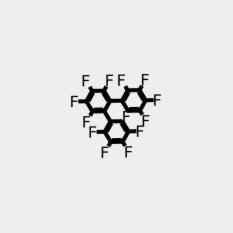 Fc1cc(-c2c(F)c(F)c(F)c(F)c2-c2c(F)c(F)c(F)c(F)c2F)c(F)c(F)c1F